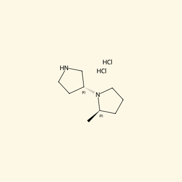 C[C@@H]1CCCN1[C@@H]1CCNC1.Cl.Cl